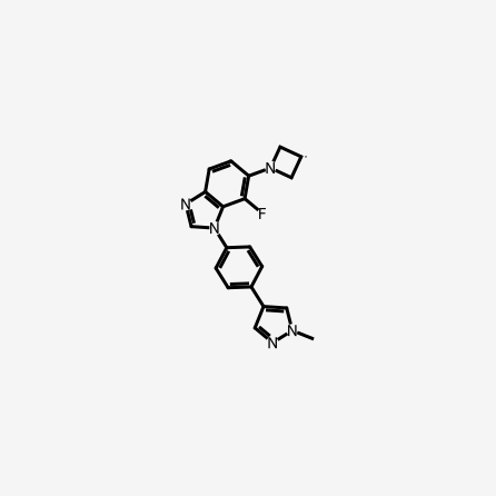 Cn1cc(-c2ccc(-n3cnc4ccc(N5C[CH]C5)c(F)c43)cc2)cn1